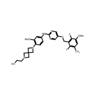 COc1cc(Nc2ncc(OCc3c(F)c(C)cc(OC)c3F)cn2)ccc1N1CC2(CN(CCO)C2)C1